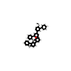 CSc1ccc(-c2cccc(-c3ccccc3-n3c4ccccc4c4ccc5sc6ccccc6c5c43)c2)cc1C1=CC=CCC1